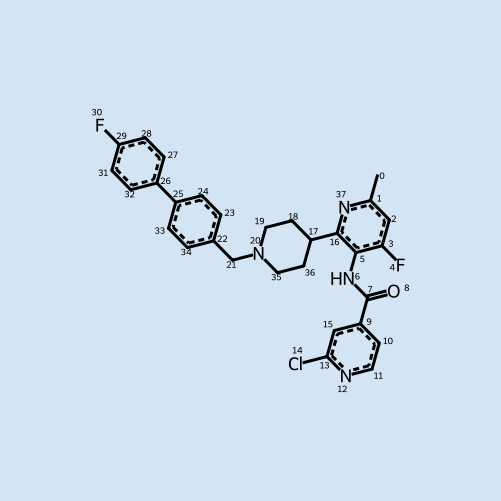 Cc1cc(F)c(NC(=O)c2ccnc(Cl)c2)c(C2CCN(Cc3ccc(-c4ccc(F)cc4)cc3)CC2)n1